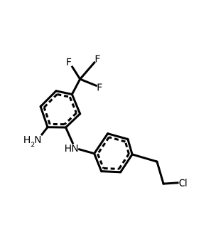 Nc1ccc(C(F)(F)F)cc1Nc1ccc(CCCl)cc1